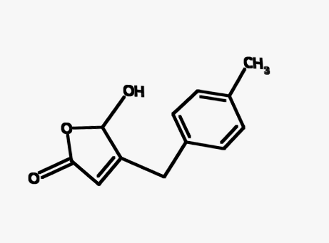 Cc1ccc(CC2=CC(=O)OC2O)cc1